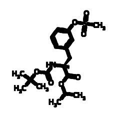 CC(C)OC(=O)[C@H](Cc1cccc(OS(C)(=O)=O)c1)NC(=O)OC(C)(C)C